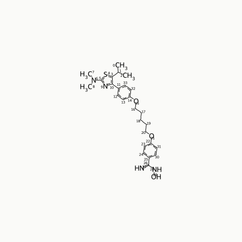 CC(C)c1sc(N(C)C)nc1-c1ccc(OCCCCCOc2ccc(C(=N)NO)cc2)cc1